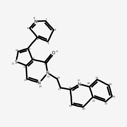 O=c1c2c(-c3cccnc3)csc2cnn1CCc1ccc2ccccc2n1